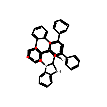 CCC1Nc2ccccc2N1c1ccccc1-c1ccccc1-c1ccccc1-c1ccccc1-c1cc(-c2ccccc2)cc(-c2ccccc2)n1